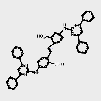 O=S(=O)(O)c1cc(Nc2nc(-c3ccccc3)cc(-c3ccccc3)n2)ccc1/C=C/c1ccc(Nc2nc(-c3ccccc3)cc(-c3ccccc3)n2)cc1S(=O)(=O)O